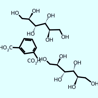 O=C(O)c1cccc(C(=O)O)c1.OC[C@@H](O)[C@@H](O)[C@H](O)[C@H](O)CO.OC[C@@H](O)[C@@H](O)[C@H](O)[C@H](O)CO